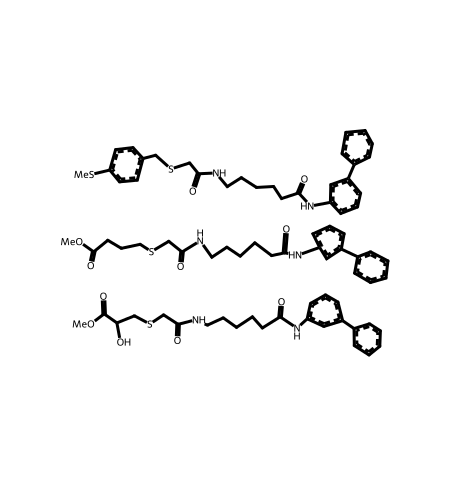 COC(=O)C(O)CSCC(=O)NCCCCCC(=O)Nc1cccc(-c2ccccc2)c1.COC(=O)CCCSCC(=O)NCCCCCC(=O)Nc1cccc(-c2ccccc2)c1.CSc1ccc(CSCC(=O)NCCCCCC(=O)Nc2cccc(-c3ccccc3)c2)cc1